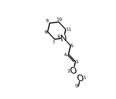 COO/C=C/CN1CCCCC1